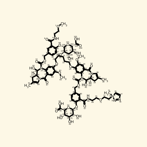 COCCNC(=O)c1cc(COC(=O)N2c3cc(OCCCCCOc4cc5c(cc4OC)C(=O)N4C=C(C)C[C@H]4C(O)N5C(=O)OCc4ccc(O[C@@H]5O[C@H](C(=O)O)[C@@H](O)[C@H](O)[C@H]5O)c(C(=O)NCCOCC[N+]5(C)C=CN=N5)c4)c(OC)cc3C(=O)N3C=C(C)C[C@H]3C2O)ccc1O[C@@H]1O[C@H](C(=O)O)[C@@H](O)[C@H](O)[C@H]1O